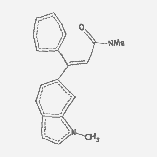 CNC(=O)C=C(c1ccccc1)c1ccc2ccn(C)c2c1